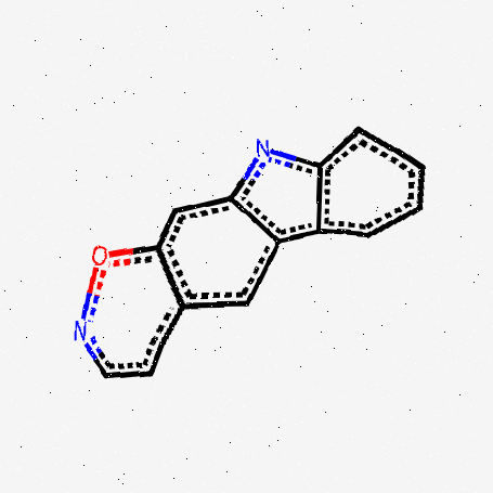 c1ccc2c(c1)nc1cc3onccc3cc12